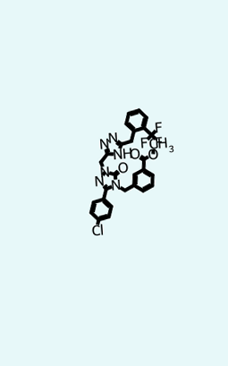 COC(=O)c1cccc(Cn2c(-c3ccc(Cl)cc3)nn(Cc3nnc(Cc4ccccc4C(F)(F)F)[nH]3)c2=O)c1